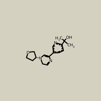 CC(C)(O)c1ccc(C2=CN([C@@H]3CCOC3)CC=N2)cn1